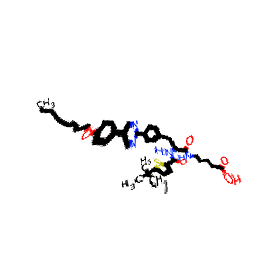 CCCCCCCOc1ccc(-c2cnc(-c3ccc(CC(NC(=O)c4ccc(C(C)(C)C)s4)C(=O)NCCCCC(=O)O)cc3)nc2)cc1